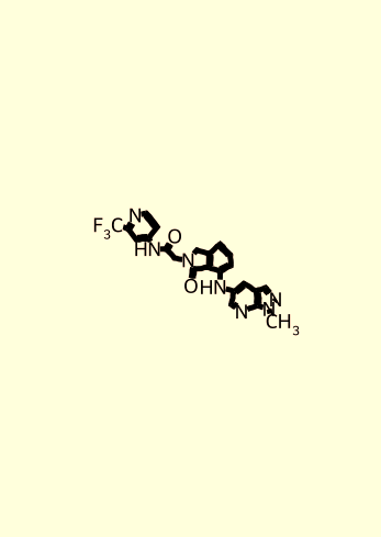 Cn1ncc2cc(Nc3cccc4c3C(=O)N(CC(=O)Nc3ccnc(C(F)(F)F)c3)C4)cnc21